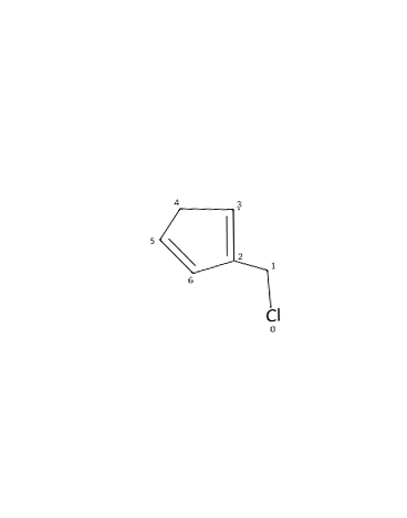 ClCC1=[C]CC=C1